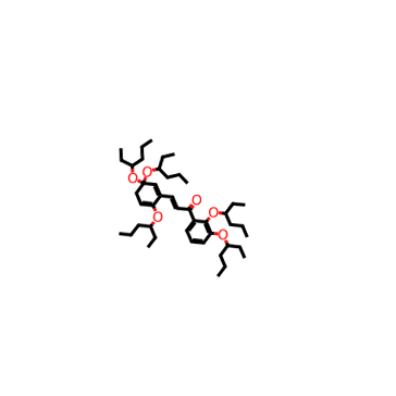 CCCC(CC)OC1=CCC(OC(CC)CCC)(OC(CC)CCC)C=C1C=CC(=O)c1cccc(OC(CC)CCC)c1OC(CC)CCC